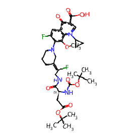 COc1c(N2CCCC(=C(F)CNC(=O)[C@H](CC(=O)OC(C)(C)C)NC(=O)OC(C)(C)C)C2)c(F)cc2c(=O)c(C(=O)O)cn(C3CC3)c12